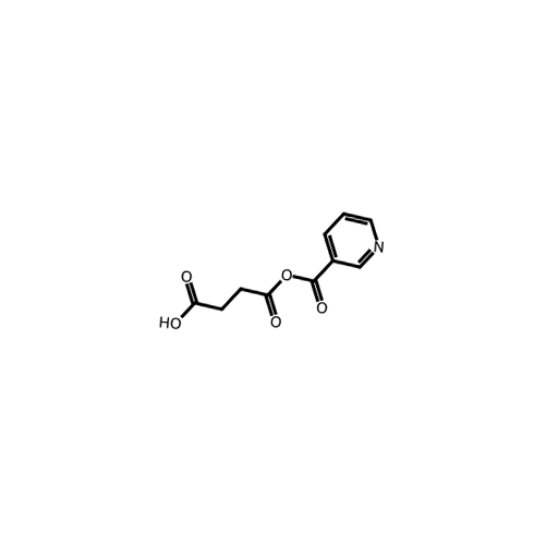 O=C(O)CCC(=O)OC(=O)c1cccnc1